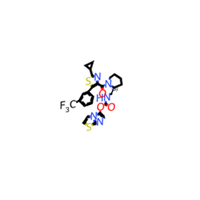 O=C(NC[C@@H]1CCCCN1C(=O)c1nc(C2CC2)sc1-c1cccc(C(F)(F)F)c1)Oc1cnc2sccn12